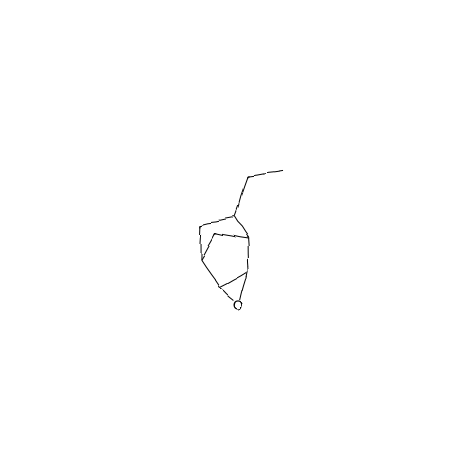 CCC1CC2CC1C1OC21